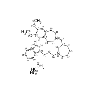 COc1cc2c(cc1OC)CCN(CC1CCCCN(CCCc3c[nH]c4ccccc34)C1)CC2.Cl.Cl.O